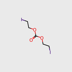 O=C(OCCI)OCCI